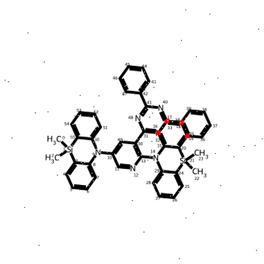 C[Si]1(C)c2ccccc2N(c2cnc(N3c4ccccc4[Si](C)(C)c4ccccc43)c(-c3nc(-c4ccccc4)nc(-c4ccccc4)n3)c2)c2ccccc21